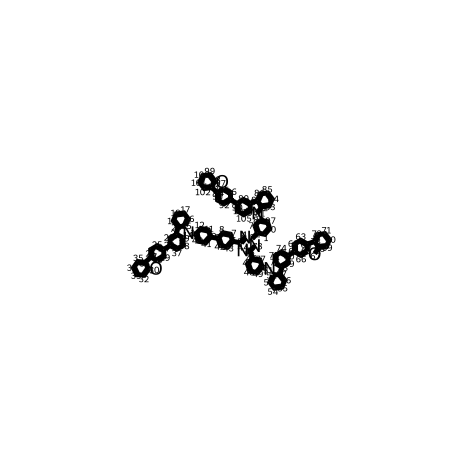 c1cc(-c2nc(-c3ccc(-c4ccc(-n5c6ccccc6c6cc(-c7ccc8c(c7)oc7ccccc78)ccc65)cc4)cc3)nc(-c3cccc(-n4c5ccccc5c5cc(-c6ccc7c(c6)oc6ccccc67)ccc54)c3)n2)cc(-n2c3ccccc3c3cc(-c4ccc5c(c4)oc4ccccc45)ccc32)c1